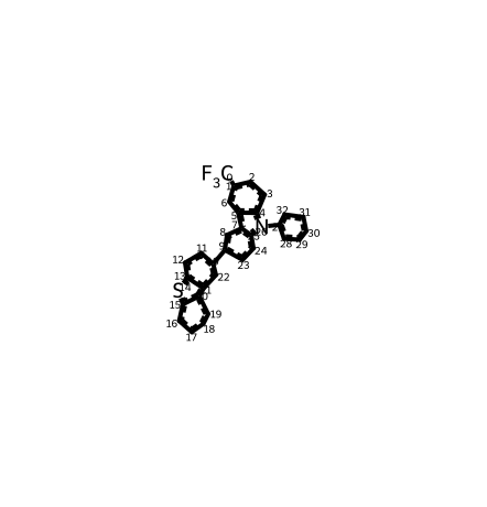 FC(F)(F)c1ccc2c(c1)c1cc(-c3ccc4sc5ccccc5c4c3)ccc1n2-c1ccccc1